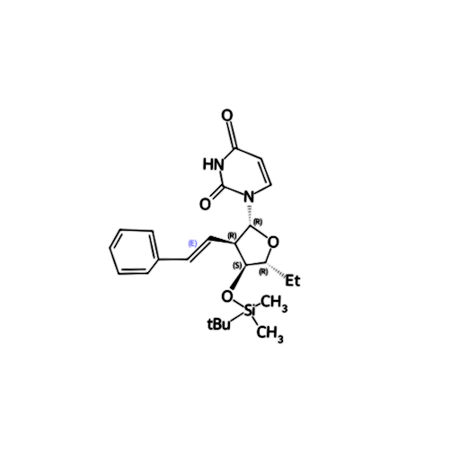 CC[C@H]1O[C@@H](n2ccc(=O)[nH]c2=O)[C@H](/C=C/c2ccccc2)[C@@H]1O[Si](C)(C)C(C)(C)C